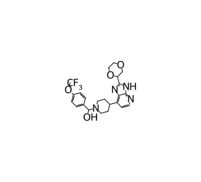 OC(c1ccc(OC(F)(F)F)cc1)N1CCC(c2ccnc3[nH]c(C4COCCO4)nc23)CC1